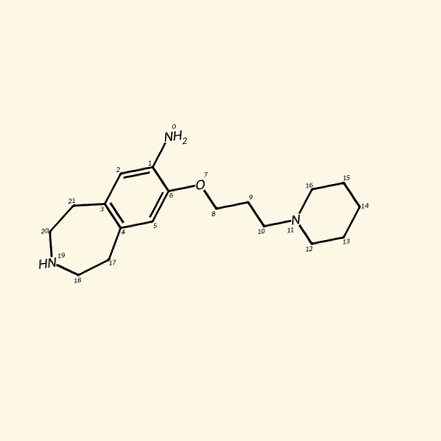 Nc1cc2c(cc1OCCCN1CCCCC1)CCNCC2